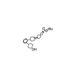 CC(C)(C)OC(=O)N1CC2(CC[C@@H](N3CCC(c4ccccc4C4CCC(O)CC4)CC3)C2)C1